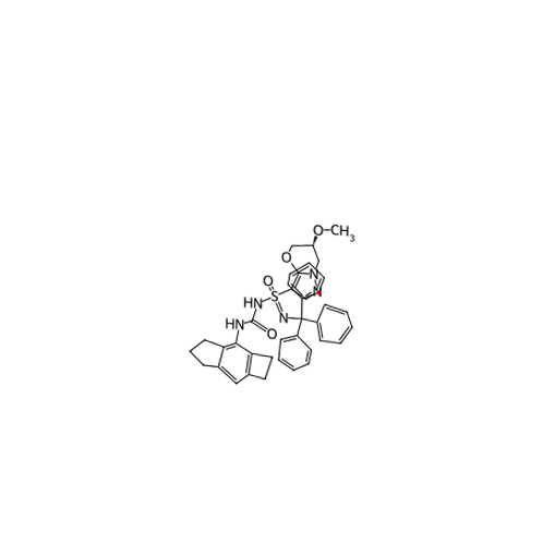 CO[C@@H]1COc2c(S(=O)(=NC(c3ccccc3)(c3ccccc3)c3ccccc3)NC(=O)Nc3c4c(cc5c3CC5)CCC4)cnn2C1